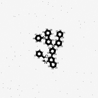 C=Nc1c(OCc2ccccc2)c(-c2ccc(N(c3cccc(-c4ccccc4)c3)c3ccc4c(c3)c3ccccc3n4-c3ccccc3)cc2)cc2ccccc12